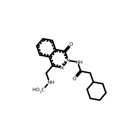 O=C(O)NCc1nn(NC(=O)CC2CCCCC2)c(=O)c2ccccc12